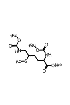 COC(=O)C(CCC(CNC(=O)OC(C)(C)C)SC(C)=O)NC(=O)OC(C)(C)C